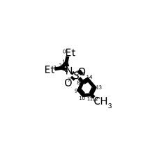 CCC1C(CC)N1S(=O)(=O)c1ccc(C)cc1